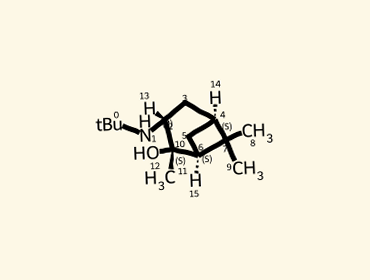 CC(C)(C)N[C@@H]1C[C@@H]2C[C@@H](C2(C)C)[C@]1(C)O